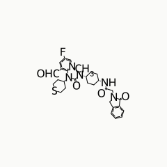 CN(C(=O)N(c1ncc(F)cc1C=O)C1CCSCC1)[C@H]1CC[C@@H](NC(=O)CN2Cc3ccccc3C2=O)CC1